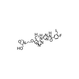 Cc1c(OCCCN2CCOCC2CO)cn2ncnc(Nc3cnc(NC(=O)c4ccc(F)c(CI)c4)nc3)c12